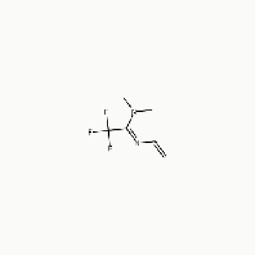 C=C/N=C(\N(C)C)C(F)(F)F